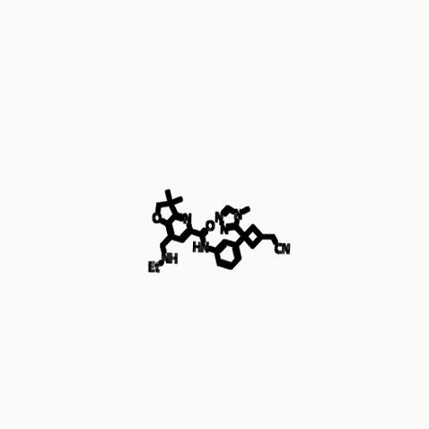 CCNCc1cc(C(=O)Nc2cccc(C3(c4nncn4C)CC(CC#N)C3)c2)nc2c1OCC2(C)C